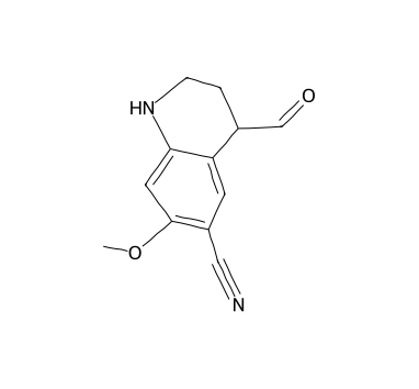 COc1cc2c(cc1C#N)C(C=O)CCN2